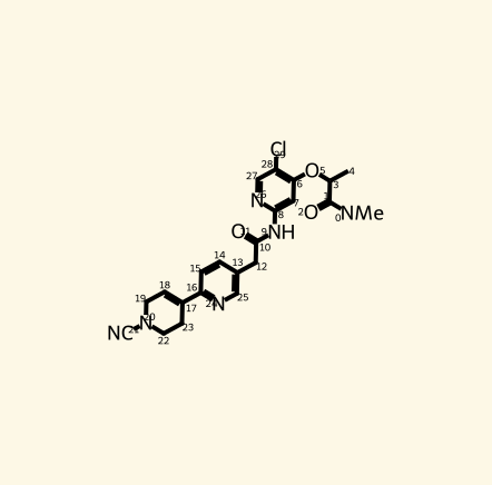 CNC(=O)C(C)Oc1cc(NC(=O)Cc2ccc(C3=CCN(C#N)CC3)nc2)ncc1Cl